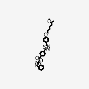 COC(C)CCCCCOc1ccc(-c2nnc(-c3ccc(C(=O)On4nnc5ccccc54)cc3)s2)cc1